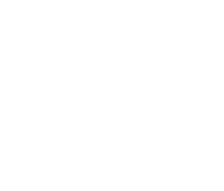 C#Cc1ccc(C#CC)cc1